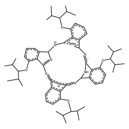 CC(C)C(Oc1cccc2c1C1=NC2Nc2[nH]c(c3cccc(OC(C(C)C)C(C)C)c23)/N=C2\NC(/N=c3\[nH]/c(c4cccc(OC(C(C)C)C(C)C)c34)=N\1)c1cccc(OC(C(C)C)C(C)C)c12)C(C)C